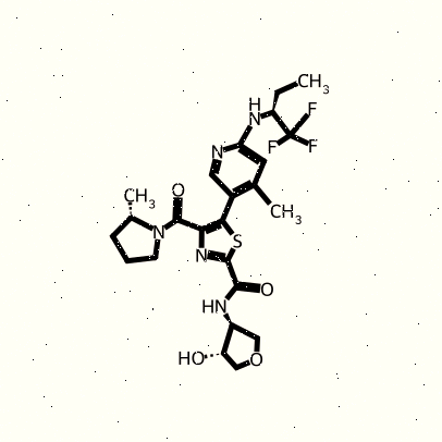 CC[C@H](Nc1cc(C)c(-c2sc(C(=O)N[C@H]3COC[C@@H]3O)nc2C(=O)N2CCC[C@@H]2C)cn1)C(F)(F)F